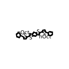 CCCCCCCCc1c(-c2ccc(-c3ccccc3)s2)sc2cc3c(CCCCCCCC)c(-c4ccc(-c5ccccc5)s4)sc3cc12